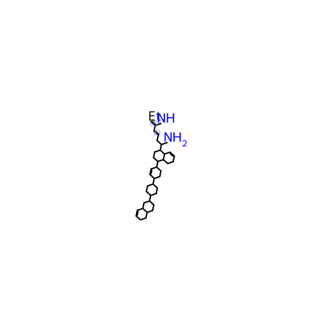 CC/C=C(C=N)/C=C/CC(CN)C1CCC(C2C=CC(C3CCC(C4CCC5CCC=CC5C4)CC3)CC2)C2CCC=CC12